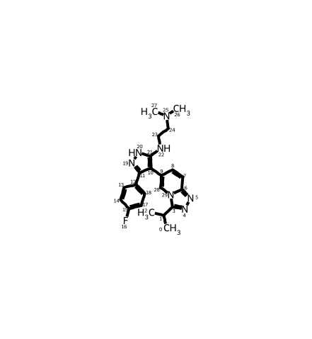 CC(C)c1nnc2ccc(-c3c(-c4ccc(F)cc4)n[nH]c3NCCN(C)C)cn12